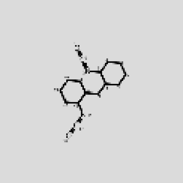 O=C=NC1CCCCC1CC1CCCCC1N=C=O